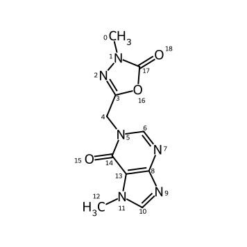 Cn1nc(Cn2cnc3ncn(C)c3c2=O)oc1=O